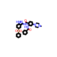 CN1CCN(c2ccc(C(=O)Nc3n[nH]c4ccc(S(=O)(=O)c5ccccc5)cc34)c(NC(=O)c3ccccc3)c2)CC1